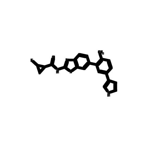 Cc1ccc(-c2cc[nH]c2)cc1-c1ccc2nc(NC(=O)C3CC3F)sc2c1